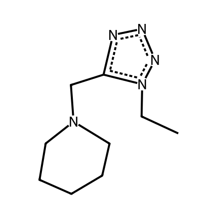 CCn1nnnc1CN1CCCCC1